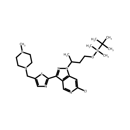 CC(CCO[Si](C)(C)C(C)(C)C)n1nc(-c2ncc(CN3CCN(C)CC3)s2)c2cnc(Cl)cc21